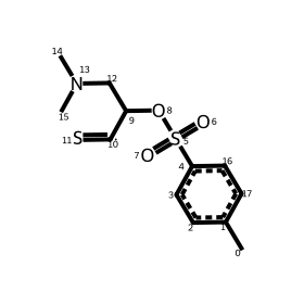 Cc1ccc(S(=O)(=O)OC([C]=S)CN(C)C)cc1